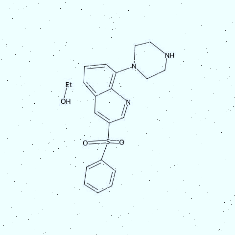 CCO.O=S(=O)(c1ccccc1)c1cnc2c(N3CCNCC3)cccc2c1